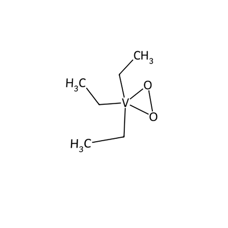 C[CH2][V]1([CH2]C)([CH2]C)[O][O]1